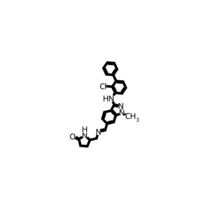 Cn1nc(Nc2cccc(-c3ccccc3)c2Cl)c2ccc(C=NCC3CCC(=O)N3)cc21